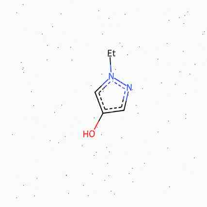 CCn1cc(O)cn1